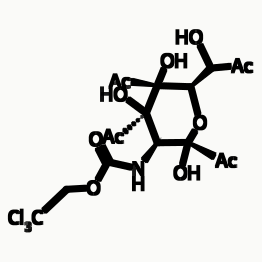 CC(=O)C(O)[C@H]1O[C@@](O)(C(C)=O)[C@@H](NC(=O)OCC(Cl)(Cl)Cl)[C@](O)(C(C)=O)[C@@]1(O)C(C)=O